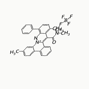 Cc1ccc2c3ccccc3c3c(C(=O)N(C)C)c4c(C)ccc(-c5ccccc5)c4n[n+]3c2c1.F[B-](F)(F)F